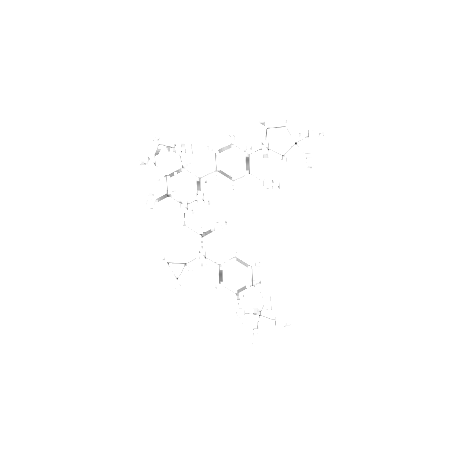 N#Cc1cc(-c2nn(CC(=O)N(c3ccc4c(c3)OC(F)(F)O4)C3CC3)c(=O)c3nc[nH]c23)ccc1N1CCC(F)(F)C1